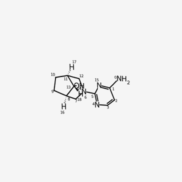 Nc1ccnc(N2C[C@H]3CC[C@@H](C2)[C@@H]3O)n1